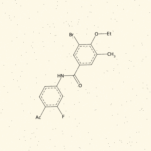 CCOc1c(C)cc(C(=O)Nc2ccc(C(C)=O)c(F)c2)cc1Br